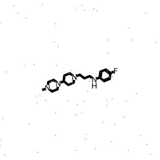 CN1CCN(C2CCN(CCCNc3ccc(F)cc3)CC2)CC1